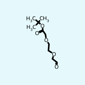 CC(C)(C)OC(=O)COCCOCC=O